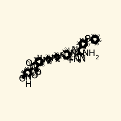 Nc1ncnc2c1c(-c1ccc(Oc3ccccc3)cc1)nn2[C@@H]1CCN(C2CN(C3CN(c4ccc5c(c4)C(=O)N(C4CCC(=O)NC4=O)C5=O)C3)C2)C[C@H]1F